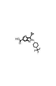 O=C(O)c1cnc2c(C3CC3)n(C[C@H]3CC[C@H](C(F)(F)F)CC3)nc2c1